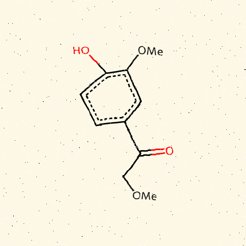 COCC(=O)c1ccc(O)c(OC)c1